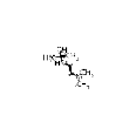 CN(C)CCNC(C)(C)O